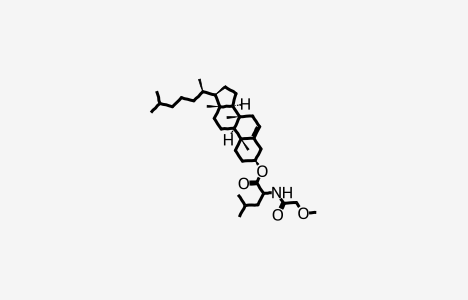 COCC(=O)NC(CC(C)C)C(=O)O[C@H]1CC[C@@]2(C)C(=CC[C@@]3(C)[C@@H]4CC[C@H]([C@H](C)CCCC(C)C)[C@@]4(C)CC[C@@H]32)C1